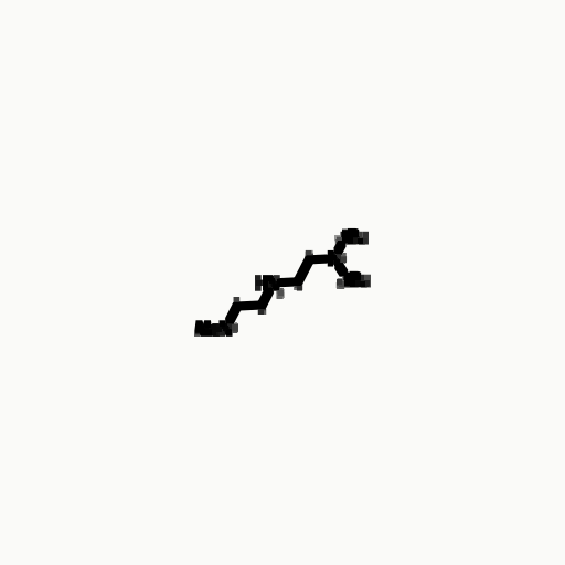 CNCCNCCN(C(C)(C)C)C(C)(C)C